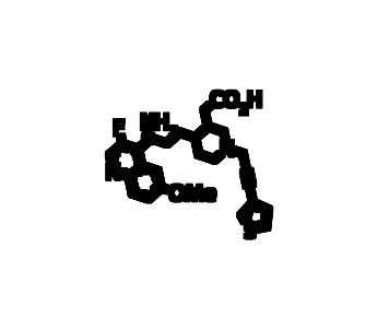 COc1ccc2ncc(F)c([C@H](N)CCC3CCN(CC#Cc4ccsc4)CC3CC(=O)O)c2c1